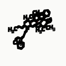 C=C/C=C(\C=C/Cc1ccc2c(c1)C1(c3ccccc3-2)c2ccccc2C(C)(C)c2ccccc21)N(/C=C/C=C(\C=C/C)c1ccccc1)c1ccc2c(c1)C(C)(C)C1C=CCCC21